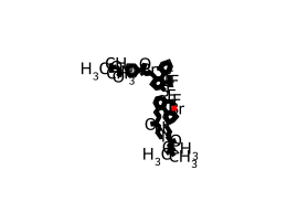 CC(C)(C)OC(=O)N1CCN(C(=O)/C=C/c2ccc(Sc3ccc(/C=C/C(=O)N4CCN(C(=O)OC(C)(C)C)CC4)c(-c4ccccc4Br)c3C(F)(F)F)c(C(F)(F)F)c2-c2ccccc2Br)CC1